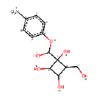 O=[N+]([O-])c1ccc(OC(O)C2(O)C(O)C(O)C2CO)cc1